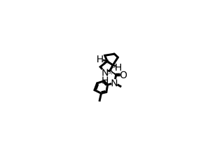 Cc1cccc(N(C)C(=O)[C@H]2NC[C@@H]3CCC[C@@H]32)c1